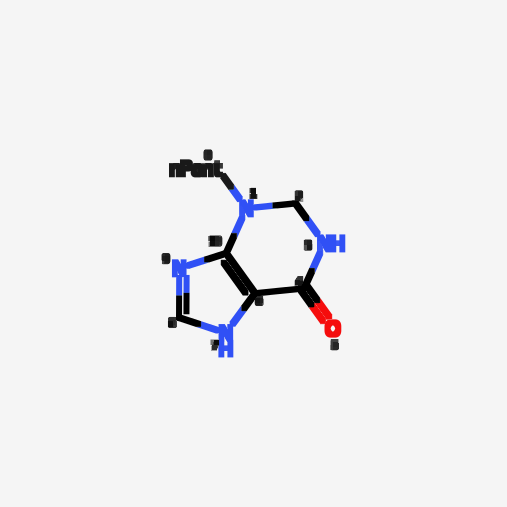 CCCCCN1CNC(=O)c2[nH]cnc21